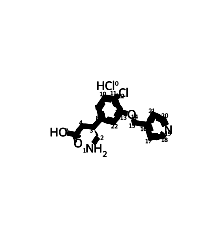 Cl.NC[C@H](CC(=O)O)c1ccc(Cl)c(OCc2ccncc2)c1